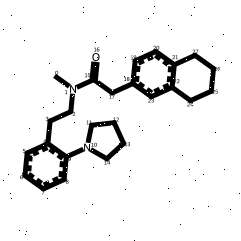 CN(CCc1ccccc1N1CCCC1)C(=O)Cc1ccc2c(c1)CCCC2